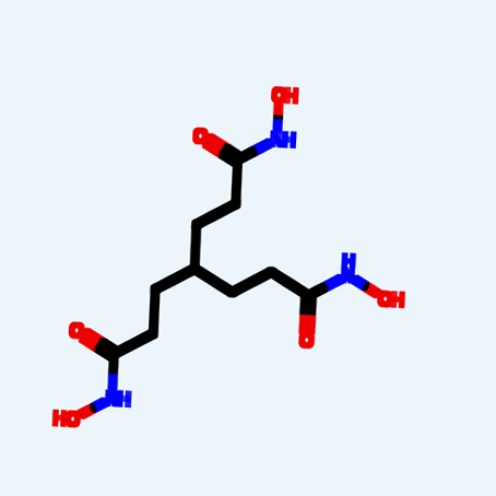 O=C(CC[C](CCC(=O)NO)CCC(=O)NO)NO